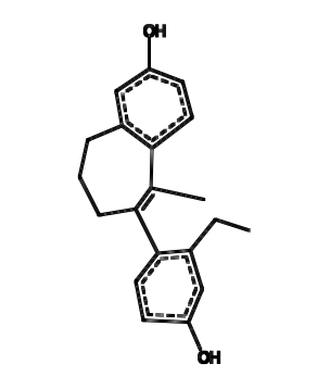 CCc1cc(O)ccc1C1=C(C)c2ccc(O)cc2CCC1